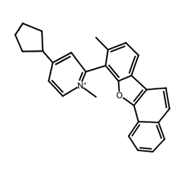 Cc1ccc2c(oc3c4ccccc4ccc23)c1-c1cc(C2CCCC2)cc[n+]1C